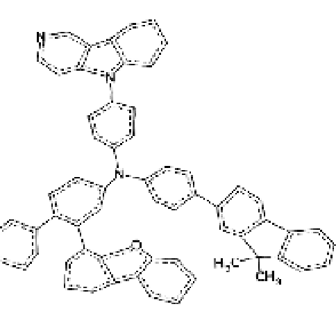 CC1(C)c2ccccc2-c2ccc(-c3ccc(N(c4ccc(-n5c6ccccc6c6cnccc65)cc4)c4ccc(-c5ccccc5)c(-c5cccc6c5oc5ccccc56)c4)cc3)cc21